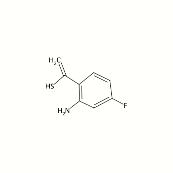 C=C(S)c1ccc(F)cc1N